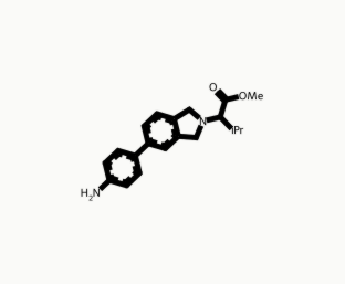 COC(=O)C(C(C)C)N1Cc2ccc(-c3ccc(N)cc3)cc2C1